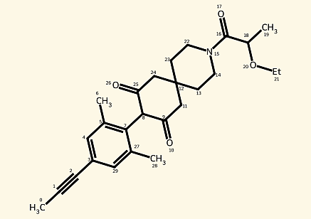 CC#Cc1cc(C)c(C2C(=O)CC3(CCN(C(=O)C(C)OCC)CC3)CC2=O)c(C)c1